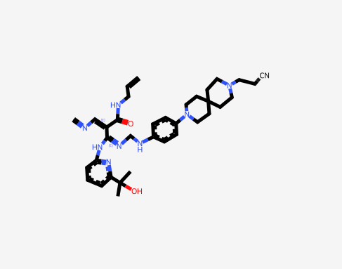 C=CCNC(=O)C(=C/N=C)/C(=N\CNc1ccc(N2CCC3(CCN(CCC#N)CC3)CC2)cc1)Nc1cccc(C(C)(C)O)n1